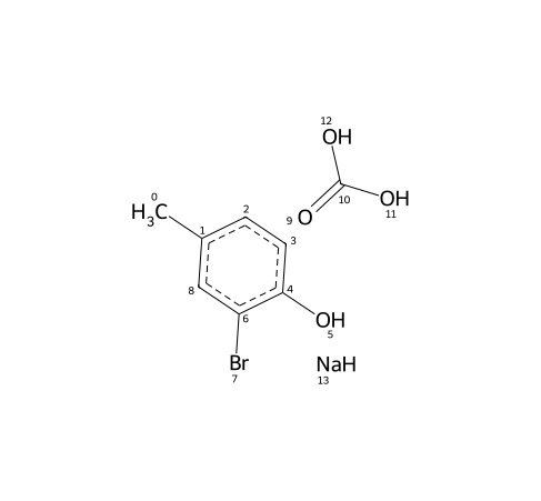 Cc1ccc(O)c(Br)c1.O=C(O)O.[NaH]